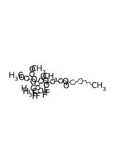 CCCCC[C@H]1CC[C@H]([C@H]2CC[C@H](C(=O)Oc3ccc(-c4ccc(C(=O)Oc5cc6c7c(c8c(c6cc5OC)OC(c5ccc(OC)cc5)(c5ccc(OC)cc5)C=C8)C(C)(C)c5c-7cc(C(F)(F)F)cc5C(F)(F)F)cc4)cc3)CC2)CC1